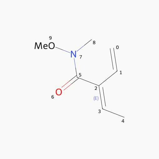 C=C/C(=C\C)C(=O)N(C)OC